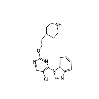 Clc1cnc(OCCC2CCNCC2)nc1-n1cnc2ccccc21